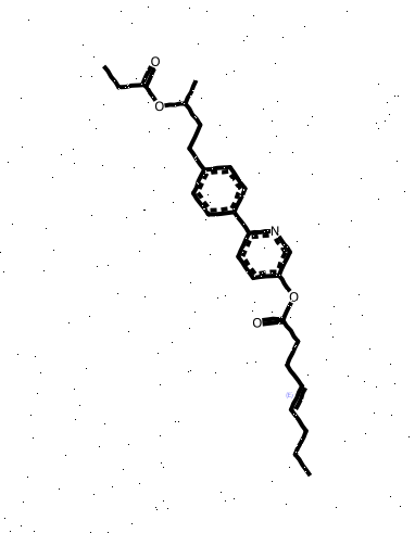 CCC/C=C/CCC(=O)Oc1ccc(-c2ccc(CCC(C)OC(=O)CC)cc2)nc1